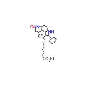 CCOC(=O)CCCCCCCc1c(-c2ccccc2)[nH]c2ccc3[nH]c(=O)cc(C(F)(F)F)c3c12